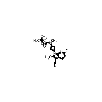 Cc1c(C#N)c2ccc(Cl)nc2n1C1CC(N(C)C(=O)OC(C)(C)C)C1